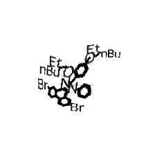 CCCCC(CC)COc1ccc(-c2nc3c4cc(Br)ccc4c4ccc(Br)cc4c3n2-c2ccccc2)c(OCC(CC)CCCC)c1